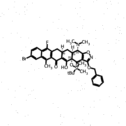 Cc1c2c(c(F)c3ccc(Br)cc13)C[C@H]1C[C@H]3[C@H](N(C)C)c4onc(OCc5ccccc5)c4C(=O)[C@@]3(O[Si](C)(C)C(C)(C)C)C(O)=C1C2=O